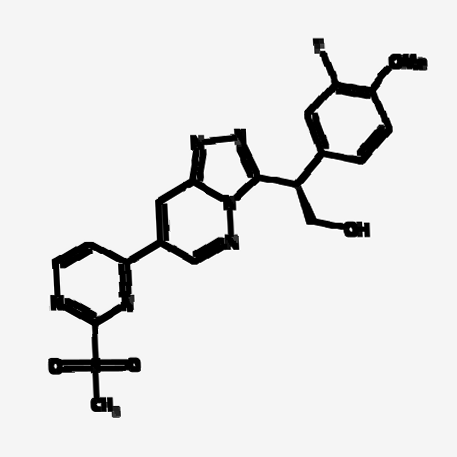 COc1ccc([C@@H](CO)c2nnc3cc(-c4ccnc(S(C)(=O)=O)n4)cnn23)cc1F